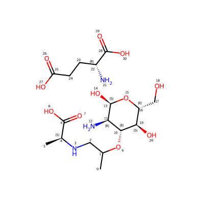 CC(CN[C@@H](C)C(=O)O)O[C@@H]1[C@@H](N)[C@@H](O)O[C@H](CO)[C@H]1O.N[C@H](CCC(=O)O)C(=O)O